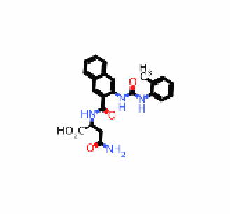 Cc1ccccc1NC(=O)Nc1cc2ccccc2cc1C(=O)N[C@@H](CC(N)=O)C(=O)O